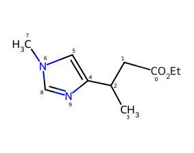 CCOC(=O)CC(C)c1cn(C)cn1